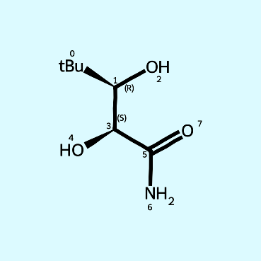 CC(C)(C)[C@@H](O)[C@H](O)C(N)=O